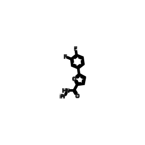 CC(C)NC(=O)c1ccc(-c2ccc(F)c(F)c2)o1